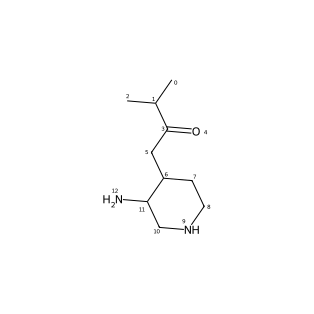 CC(C)C(=O)CC1CCNCC1N